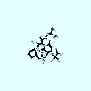 Cc1ccc(NS(=O)(=O)Cc2ccccc2)c(=O)n1C(C(N)=O)C(C)ON=C(N)N.O=C(O)C(F)(F)F